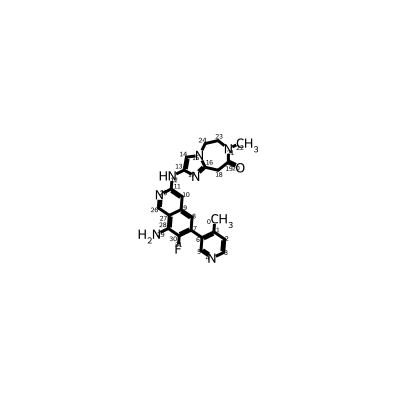 Cc1ccncc1-c1cc2cc(Nc3cn4c(n3)CC(=O)N(C)CC4)ncc2c(N)c1F